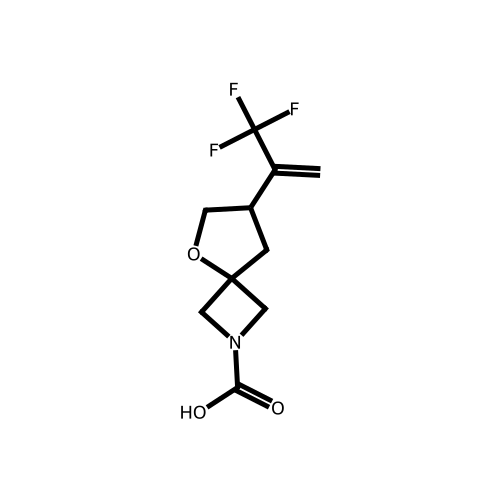 C=C(C1COC2(C1)CN(C(=O)O)C2)C(F)(F)F